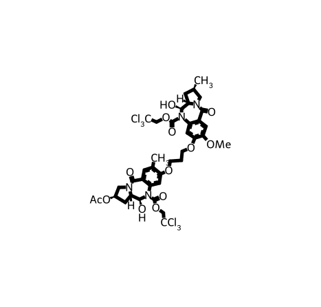 COc1cc2c(cc1OCCCOc1cc3c(cc1C)C(=O)N1C[C@H](OC(C)=O)C[C@H]1[C@H](O)N3C(=O)OCC(Cl)(Cl)Cl)N(C(=O)OCC(Cl)(Cl)Cl)[C@@H](O)[C@@H]1C[C@@H](C)CN1C2=O